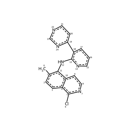 Cc1ccc2c(Cl)nccc2c1Nc1ncccc1-c1ccncn1